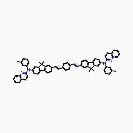 Cc1cccc(N(c2ccc3c(c2)C(C)(C)c2cc(/C=C/c4ccc(/C=C/c5ccc6c(c5)C(C)(C)c5cc(N(c7cccc(C)c7)c7ccc8ccccc8n7)ccc5-6)cc4)ccc2-3)c2ccc3ccccc3n2)c1